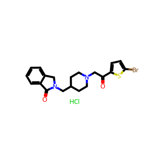 Cl.O=C(CN1CCC(CN2Cc3ccccc3C2=O)CC1)c1ccc(Br)s1